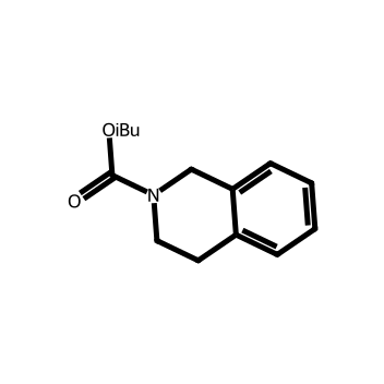 CC(C)COC(=O)N1CCc2ccccc2C1